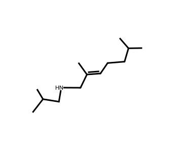 C/C(=C\CCC(C)C)CNCC(C)C